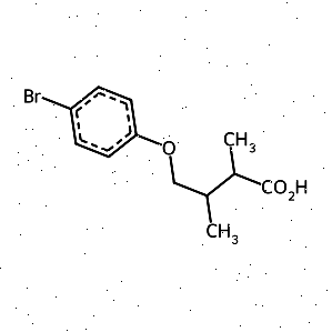 CC(COc1ccc(Br)cc1)C(C)C(=O)O